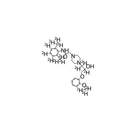 [2H]c1c([2H])c(C([2H])([2H])[2H])c(NC(=O)CN2CCN(C([2H])([2H])C([2H])(O)COc3ccccc3OC([2H])([2H])[2H])CC2)c(C([2H])([2H])[2H])c1[2H]